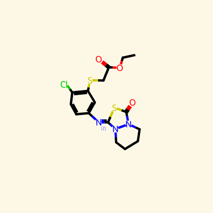 CCOC(=O)CSc1cc(/N=c2\sc(=O)n3n2CCCC3)ccc1Cl